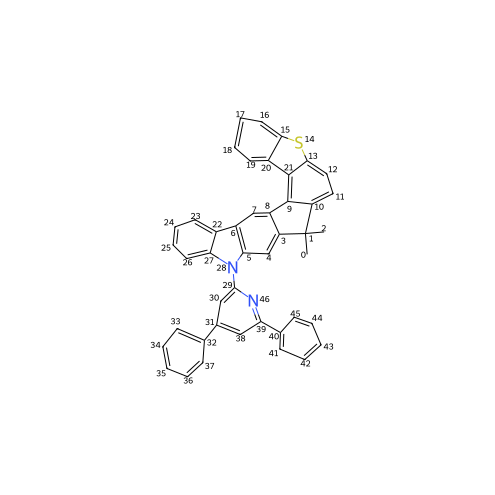 CC1(C)c2cc3c(cc2-c2c1ccc1sc4ccccc4c21)c1ccccc1n3-c1cc(-c2ccccc2)cc(-c2ccccc2)n1